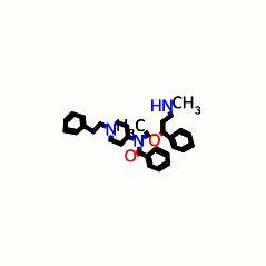 CCN(C(=O)c1ccccc1OC(CCNC)c1ccccc1)C1CCN(CCc2ccccc2)CC1